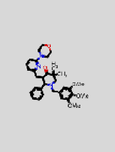 COc1cc(CN2CC(C)(C)C(=O)C(=Cc3cccc(N4CCOCC4)n3)C2c2ccccc2)cc(OC)c1OC